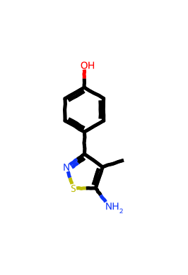 Cc1c(-c2ccc(O)cc2)nsc1N